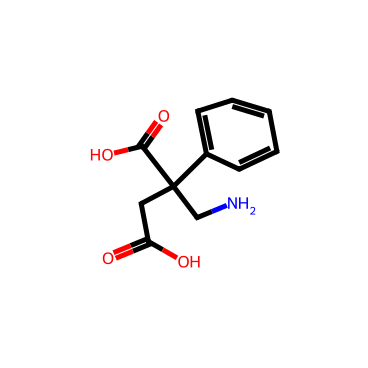 NCC(CC(=O)O)(C(=O)O)c1ccccc1